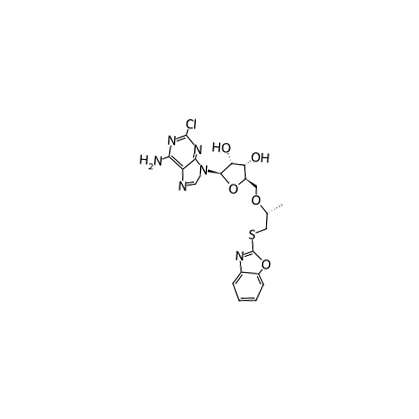 C[C@H](CSc1nc2ccccc2o1)OC[C@H]1O[C@@H](n2cnc3c(N)nc(Cl)nc32)[C@H](O)[C@@H]1O